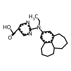 CCN(c1cc2c3c(c1)CCCCC3CCCC2)c1ncc(C(=O)O)cn1